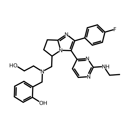 CCNc1nccc(-c2c(-c3ccc(F)cc3)nc3n2C(CN(CCO)Cc2ccccc2O)CC3)n1